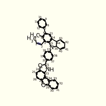 C/C=C\c1c(C)c(-c2ccccc2)cc2c1N(c1ccc(C3Nc4c(ccc5oc6ccccc6c45)O3)cc1)C1C=CC=CC21